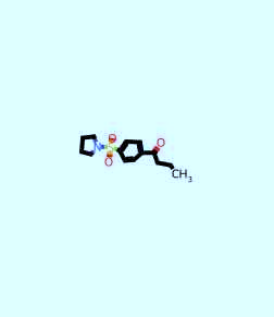 CCCC(=O)c1ccc(S(=O)(=O)N2CCCC2)cc1